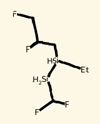 CC[SiH](CC(F)CF)[SiH2]C(F)F